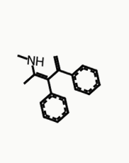 C=C(/C(=C(/C)NC)c1ccccc1)c1ccccc1